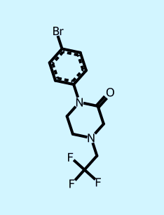 O=C1CN(CC(F)(F)F)CCN1c1ccc(Br)cc1